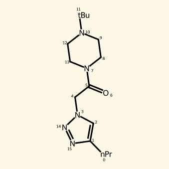 CCCc1cn(CC(=O)N2CCN(C(C)(C)C)CC2)nn1